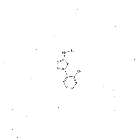 CCNc1nnc(-c2ccccc2O)o1